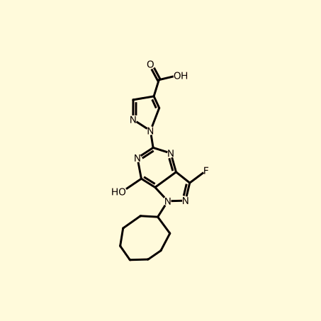 O=C(O)c1cnn(-c2nc(O)c3c(n2)c(F)nn3C2CCCCCCC2)c1